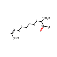 CCCCC/C=C\CCCCCCC(C(=O)CC)C(=O)OCC